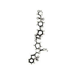 C=C(OCC1=Cc2ccccc2S1(=O)=O)N1CCC(Oc2nc3ccc(C4=CCN(S(=O)(=O)CCC)CC4)cc3s2)CC1